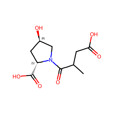 CC(CC(=O)O)C(=O)N1C[C@H](O)C[C@H]1C(=O)O